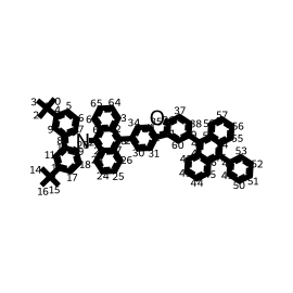 CC(C)(C)c1ccc2c(c1)c1cc(C(C)(C)C)ccc1n2-c1c2ccccc2c(-c2ccc3c(c2)oc2ccc(-c4c5ccccc5c(-c5ccccc5)c5ccccc45)cc23)c2ccccc12